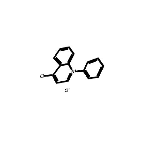 Clc1cc[n+](-c2ccccc2)c2ccccc12.[Cl-]